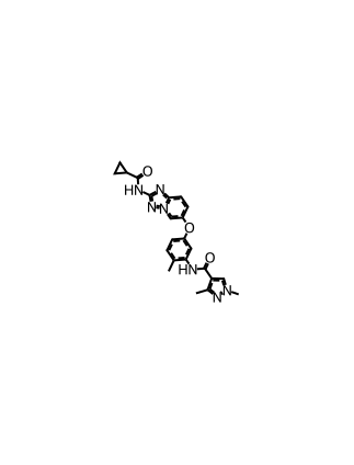 Cc1ccc(Oc2ccc3nc(NC(=O)C4CC4)nn3c2)cc1NC(=O)c1cn(C)nc1C